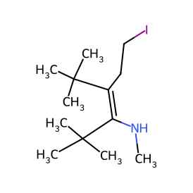 CN/C(=C(\CCI)C(C)(C)C)C(C)(C)C